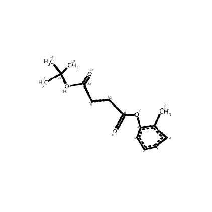 Cc1ccccc1OC(=O)CCC(=O)OC(C)(C)C